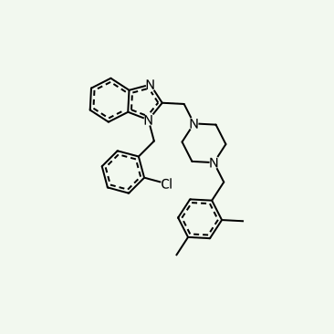 Cc1ccc(CN2CCN(Cc3nc4ccccc4n3Cc3ccccc3Cl)CC2)c(C)c1